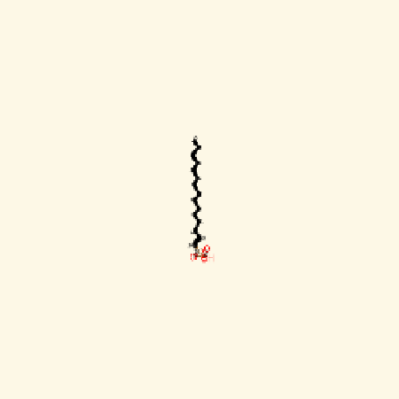 CCCCCCCCCCCCC/C=C/S(=O)(=O)O